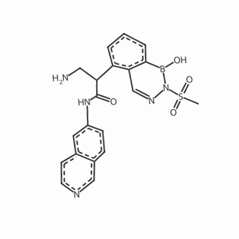 CS(=O)(=O)N1N=Cc2c(cccc2C(CN)C(=O)Nc2ccc3cnccc3c2)B1O